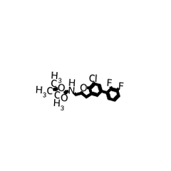 CC(C)(C)OC(=O)NCC1Cc2cc(-c3cccc(F)c3F)cc(Cl)c2O1